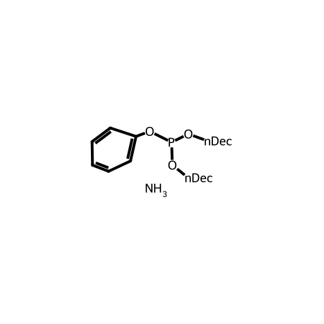 CCCCCCCCCCOP(OCCCCCCCCCC)Oc1ccccc1.N